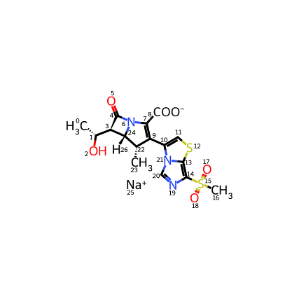 C[C@@H](O)[C@H]1C(=O)N2C(C(=O)[O-])=C(c3csc4c(S(C)(=O)=O)ncn34)[C@H](C)[C@H]12.[Na+]